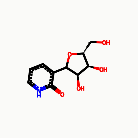 O=c1[nH]cccc1C1O[C@H](CO)[C@@H](O)[C@H]1O